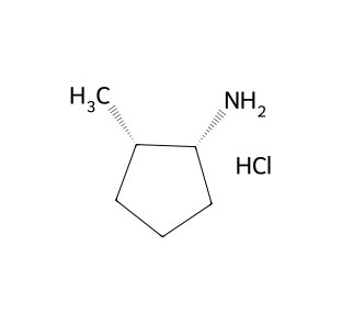 C[C@H]1CCC[C@H]1N.Cl